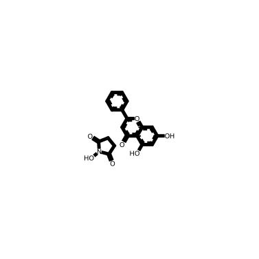 O=C1CCC(=O)N1O.O=c1cc(-c2ccccc2)oc2cc(O)cc(O)c12